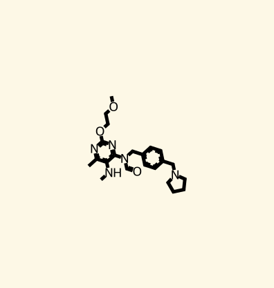 CNc1c(C)nc(OCCOC)nc1N(C=O)Cc1ccc(CN2CCCC2)cc1